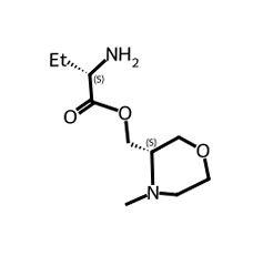 CC[C@H](N)C(=O)OC[C@@H]1COCCN1C